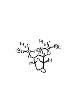 CC(C)(C)[Si](C)(C)O[C@H]1[C@@H]2OC[C@@H](O2)[C@@H](O[Si](C)(C)C(C)(C)C)[C@@H]1O